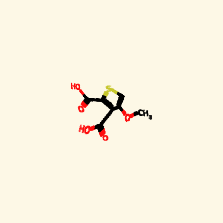 COc1csc(C(=O)O)c1C(=O)O